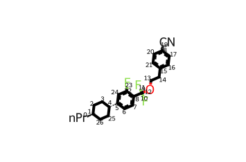 CCC[C@H]1CC[C@H](c2ccc(C(F)(F)OCCc3ccc(C#N)cc3)c(F)c2)CC1